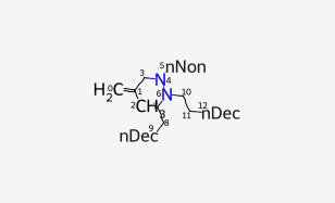 C=C(C)CN(CCCCCCCCC)N(CCCCCCCCCCCC)CCCCCCCCCCCC